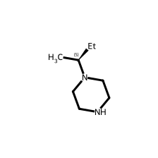 CC[C@H](C)N1CCNCC1